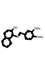 COc1ccc(/C=N/c2c(O)ccc3ccccc23)cc1OC